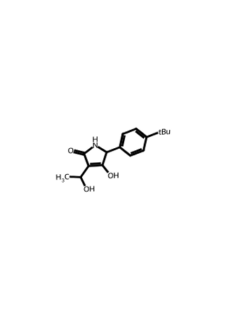 CC(O)C1=C(O)C(c2ccc(C(C)(C)C)cc2)NC1=O